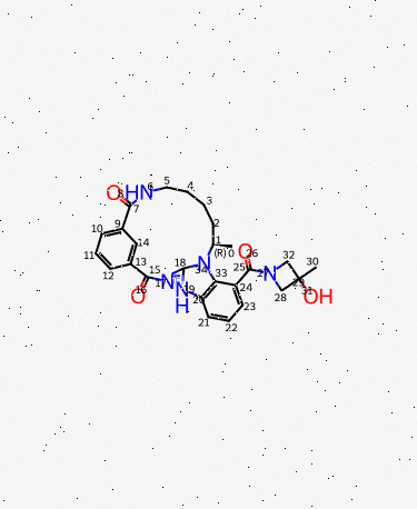 C[C@@H]1CCCCNC(=O)c2cccc(c2)C(=O)/N=C2\Nc3cccc(C(=O)N4CC(C)(O)C4)c3N21